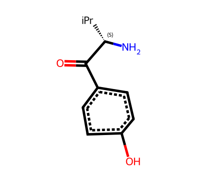 CC(C)[C@H](N)C(=O)c1ccc(O)cc1